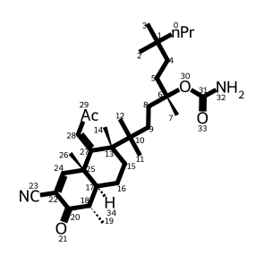 CCCC(C)(C)CC[C@@](C)(CCC(C)(C)[C@]1(C)CC[C@H]2[C@H](C)C(=O)C(C#N)=C[C@]2(C)/C1=C/C(C)=O)OC(N)=O